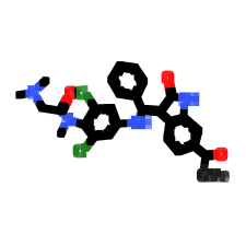 COC(=O)c1ccc2c(c1)NC(=O)C2=C(Nc1cc(Cl)c(N(C)C(=O)CN(C)C)c(Cl)c1)c1ccccc1